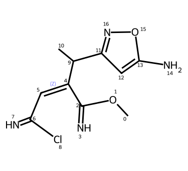 COC(=N)/C(=C\C(=N)Cl)C(C)c1cc(N)on1